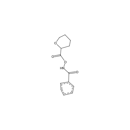 O=C(NOC(=O)C1CCCCO1)c1ccccc1